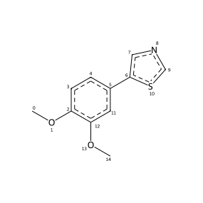 COc1ccc(-c2cncs2)cc1OC